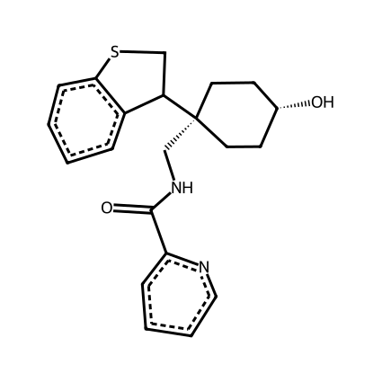 O=C(NC[C@]1(C2CSc3ccccc32)CC[C@H](O)CC1)c1ccccn1